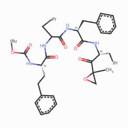 CC(C)CC(NC(=O)[C@H](CCc1ccccc1)NC(=O)OC(C)(C)C)C(=O)N[C@@H](Cc1ccccc1)C(=O)N[C@H](CC(C)C)C(=O)C1(C)CO1